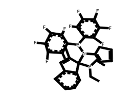 CCP(CC)[C]1([Zr]([B](c2c(F)c(F)c(F)c(F)c2F)c2c(F)c(F)c(F)c(F)c2F)[C]2=CC=CC2)C(C)=Cc2ccccc21